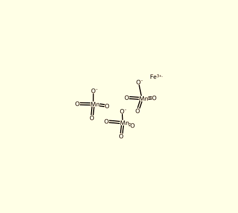 [Fe+3].[O]=[Mn](=[O])(=[O])[O-].[O]=[Mn](=[O])(=[O])[O-].[O]=[Mn](=[O])(=[O])[O-]